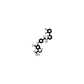 O=C(Nc1cccc(-c2cccc(F)c2F)n1)c1ccc(Oc2cc3c(cc2Cl)C(C(=O)O)CCO3)cc1